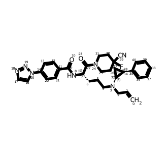 C=CCN(CCC[C@H](NC(=O)c1ccc(-n2ccnn2)cc1)C(=O)N1CCC(F)(C#N)CC1)[C@@H]1C[C@H]1c1ccccc1